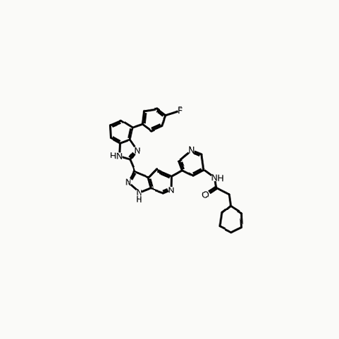 O=C(CC1CCCCC1)Nc1cncc(-c2cc3c(-c4nc5c(-c6ccc(F)cc6)cccc5[nH]4)n[nH]c3cn2)c1